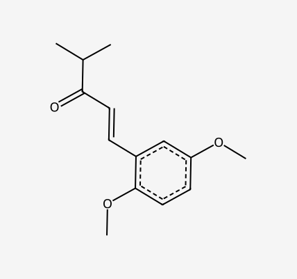 COc1ccc(OC)c(/C=C/C(=O)C(C)C)c1